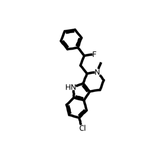 CN1CCc2c([nH]c3ccc(Cl)cc23)C1CC(F)c1ccccc1